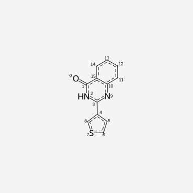 O=c1[nH]c(-c2ccsc2)nc2ccccc12